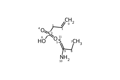 C=CCS(=O)(=O)O.CCC(N)=S